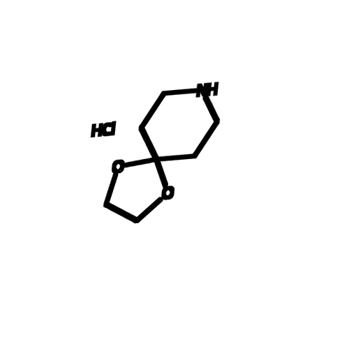 C1CC2(CCN1)OCCO2.Cl